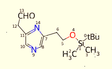 CC(C)(C)[Si](C)(C)OCCc1cncc(CC=O)n1